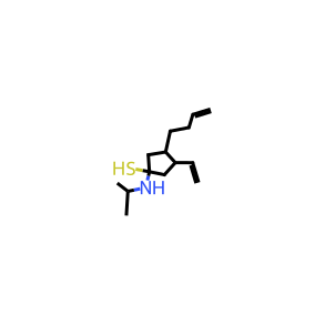 C=CCCC1CC(S)(NC(C)C)CC1C=C